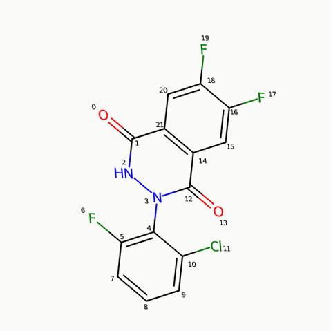 O=c1[nH]n(-c2c(F)cccc2Cl)c(=O)c2cc(F)c(F)cc12